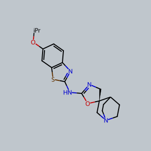 CC(C)Oc1ccc2nc(NC3=NC[C@@]4(CN5CCC4CC5)O3)sc2c1